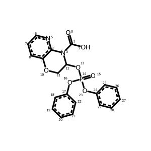 O=C(O)N1c2ncccc2OCC1OP(=O)(Oc1ccccc1)Oc1ccccc1